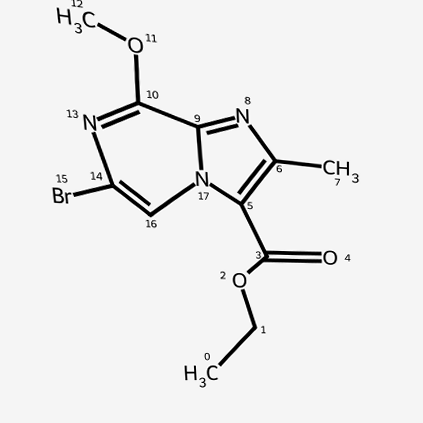 CCOC(=O)c1c(C)nc2c(OC)nc(Br)cn12